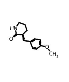 COc1ccc(C=C2CCCNC2=O)cc1